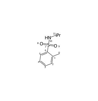 Cc1ccccc1S(=O)(=O)NC(C)C